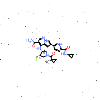 N#CC1(C(=O)N2C[C@H](CF)[C@H](Nc3c(C(N)=O)cnn4cc(-c5ccc(C(=O)NC6CC6)nc5)cc34)C2)CC1